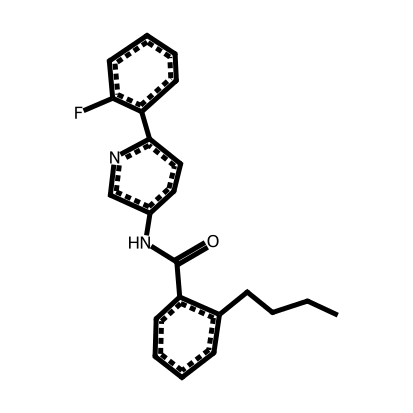 CCCCc1ccccc1C(=O)Nc1ccc(-c2ccccc2F)nc1